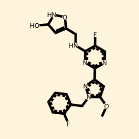 COc1cc(-c2ncc(F)c(NCC3=CC(O)NO3)n2)nn1Cc1ccccc1F